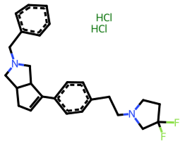 Cl.Cl.FC1(F)CCN(CCc2ccc(C3=CCC4CN(Cc5ccccc5)CC34)cc2)C1